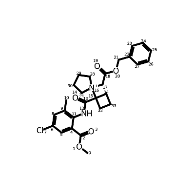 COC(=O)c1cc(Cl)cc(C)c1NC(=O)C1([N+]2(CC(=O)OCc3ccccc3)CCCC2)CCC1